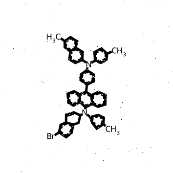 Cc1ccc(N(c2ccc(-c3c4ccccc4c(N(c4ccc(C)cc4)C4C=Cc5cc(Br)ccc5C4)c4ccccc34)cc2)c2ccc3cc(C)ccc3c2)cc1